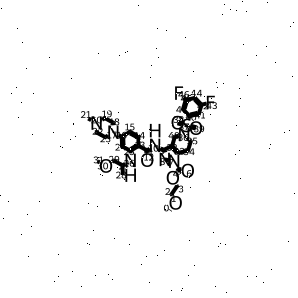 COCCOC(=O)n1nc(NC(=O)c2ccc(N3CCN(C)CC3)cc2NC(C)COC)c2c1CCN(S(=O)(=O)c1cc(F)cc(F)c1)C2